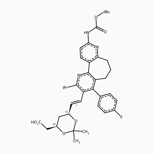 CC(C)c1nc2c(c(-c3ccc(F)cc3)c1/C=C/[C@@H]1C[C@H](CC(=O)O)OC(C)(C)O1)CCCc1nc(NC(=O)OC(C)(C)C)ccc1-2